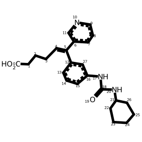 O=C(O)CCCC=C(c1cccnc1)c1cccc(NC(=O)NC2CCCCC2)c1